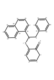 O=C1CC=CC=C1SC(Cc1ccccc1)c1cccc2ccccc12